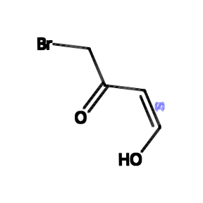 O=C(/C=C\O)CBr